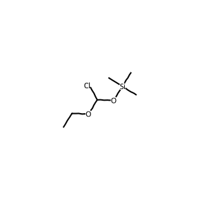 CCOC(Cl)O[Si](C)(C)C